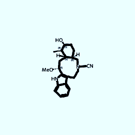 CO[C@@H]1C[C@H]2[C@@H](CC[C@H](O)[C@@H]2C)CN(C#N)CCc2c1[nH]c1ccccc21